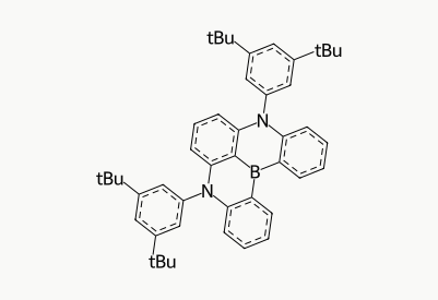 CC(C)(C)c1cc(N2c3ccccc3B3c4ccccc4N(c4cc(C(C)(C)C)cc(C(C)(C)C)c4)c4cccc2c43)cc(C(C)(C)C)c1